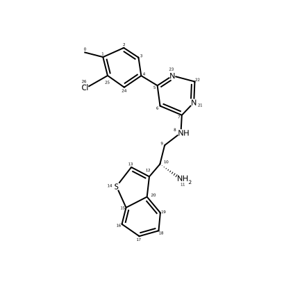 Cc1ccc(-c2cc(NC[C@H](N)c3csc4ccccc34)ncn2)cc1Cl